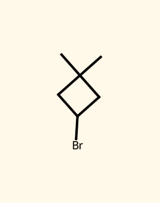 CC1(C)CC(Br)C1